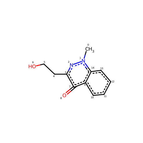 Cn1nc(CCO)c(=O)c2ccccc21